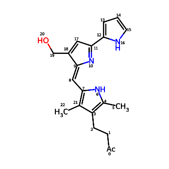 CC(=O)CCc1c(C)[nH]c(/C=C2\N=C(c3ccc[nH]3)C=C2CO)c1C